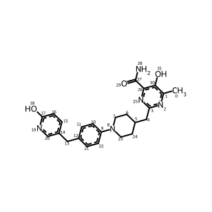 Cc1nc(CC2CCN(c3ccc(Cc4ccc(O)nc4)cc3)CC2)nc(C(N)=O)c1O